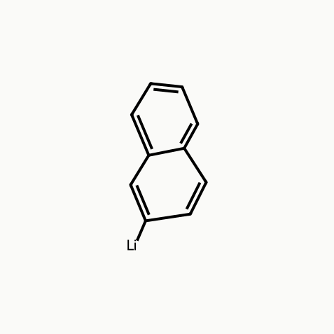 [Li][c]1ccc2ccccc2c1